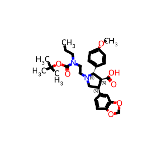 CCCN(CCN1C[C@H](c2ccc3c(c2)OCO3)[C@H](C(=O)O)[C@H]1c1ccc(OC)cc1)C(=O)OC(C)(C)C